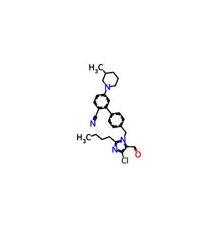 CCCCc1nc(Cl)c(C=O)n1Cc1ccc(-c2cc(N3CCCC(C)C3)ccc2C#N)cc1